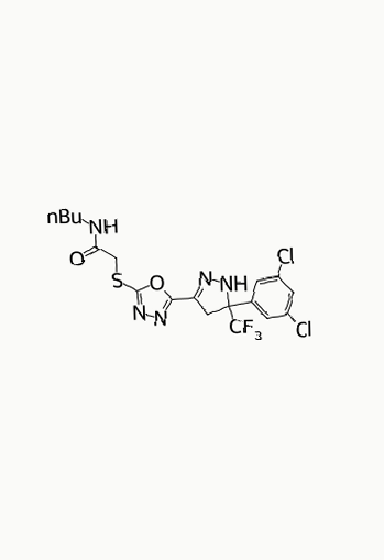 CCCCNC(=O)CSc1nnc(C2=NNC(c3cc(Cl)cc(Cl)c3)(C(F)(F)F)C2)o1